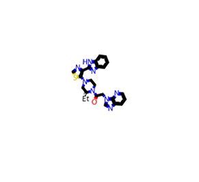 CC[C@@H]1CN(c2scnc2-c2nc3ccccc3[nH]2)CCN1C(=O)Cn1cnc2cccnc21